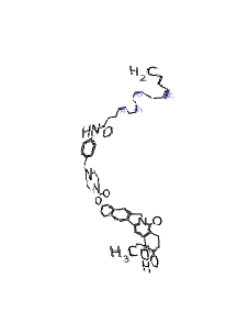 C=CC/C=C\C/C=C\C/C=C\C/C=C\CCC(=O)Nc1ccc(CN2CCN(C(=O)Oc3ccc4cc5c(cc4c3)Cn3c-5cc4c(c3=O)CCC(=O)[C@]4(O)CC)CC2)cc1